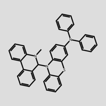 CN1c2ccccc2-c2ccccc2C1N1c2ccccc2Sc2cc(N(c3ccccc3)c3ccccc3)ccc21